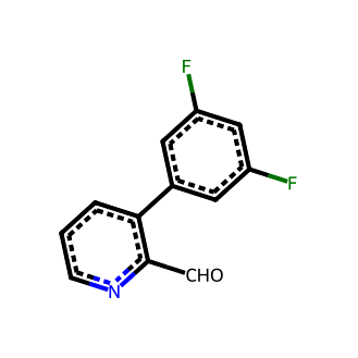 O=Cc1ncccc1-c1cc(F)cc(F)c1